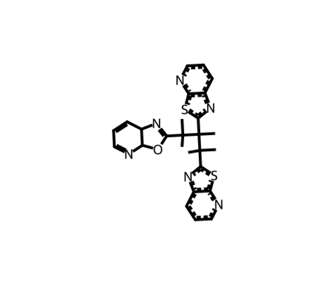 CC(C)(C1=NC2C=CC=NC2O1)C(C)(c1nc2cccnc2s1)C(C)(C)c1nc2cccnc2s1